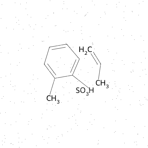 C=CC.Cc1ccccc1S(=O)(=O)O